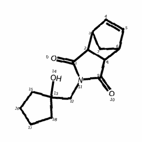 O=C1C2C3C=CC(C3)C2C(=O)N1CC1(O)CCCC1